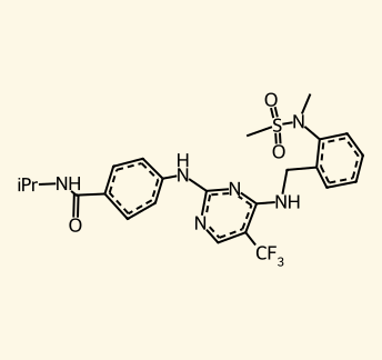 CC(C)NC(=O)c1ccc(Nc2ncc(C(F)(F)F)c(NCc3ccccc3N(C)S(C)(=O)=O)n2)cc1